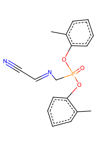 Cc1ccccc1OP(=O)(CN=CC#N)Oc1ccccc1C